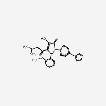 COc1ccccc1[C@H]1C(C(=O)CC(C)C)=C(O)C(=O)N1c1ccc(-c2ccsc2)cc1